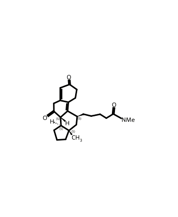 CNC(=O)CCCC[C@H]1C[C@]2(C)CCC[C@H]2[C@@H]2C(=O)CC3=CC(=O)CCC3=C12